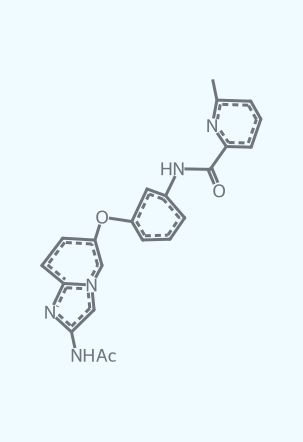 CC(=O)Nc1cn2cc(Oc3cccc(NC(=O)c4cccc(C)n4)c3)ccc2n1